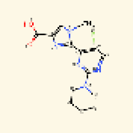 Cn1cc(C(=O)O)nc1-c1nc(N2CCCCC2)ncc1F